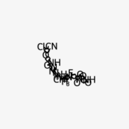 C[C@@H]1CN(c2cnc(C(=O)NC3CCC(Oc4ccc(C#N)c(Cl)c4)CC3)cn2)CCN1C[C@@H]1[C@@H]2CN(c3cc4c(cc3F)C(=O)N(C3CCC(=O)NC3=O)C4=O)C[C@@H]21